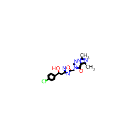 Cc1nc(C)n2ncn(Cc3nc(CC(O)c4ccc(Cl)cc4)no3)c(=O)c12